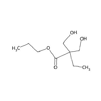 CCCOC(=O)C(CC)(CO)CO